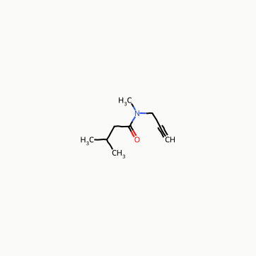 C#CCN(C)C(=O)CC(C)C